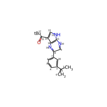 C=C(C)c1cccc(-c2cnc3[nH]cc(C(=O)C(C)(C)C)c3n2)c1